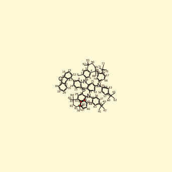 Cc1cc2c(cc1N1c3cc(-c4cccc5oc6ccccc6c45)ccc3B3c4cc5c(cc4N(c4ccc(C(C)(C)C)cc4-c4ccccc4)c4cc(N(c6ccc(C(C)(C)C)cc6)c6ccc(C(C)(C)C)cc6)cc1c43)C(C)(C)CCC5(C)C)C(C)(C)CCC2(C)C